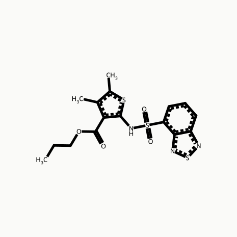 CCCOC(=O)c1c(NS(=O)(=O)c2cccc3nsnc23)sc(C)c1C